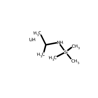 CC(C)N[Si](C)(C)C.[LiH]